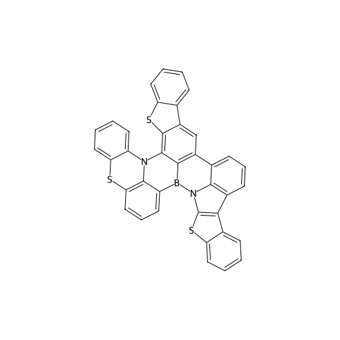 c1ccc2c(c1)Sc1cccc3c1N2c1c2c(cc4c1sc1ccccc14)-c1cccc4c5c6ccccc6sc5n(c14)B32